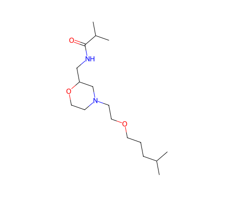 CC(C)CCCOCCN1CCOC(CNC(=O)C(C)C)C1